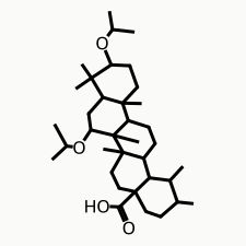 CC(C)OC1CCC2(C)C(CC(OC(C)C)C3(C)C2CCC2C4C(C)C(C)CCC4(C(=O)O)CCC23C)C1(C)C